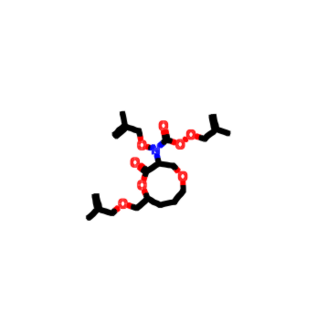 C=C(C)COCC1CCCOCC(N(OCC(=C)C)C(=O)OOCC(=C)C)C(=O)O1